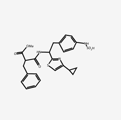 COC(=O)C(Cc1ccccc1)C(=O)NC(Cc1ccc(NS(=O)(=O)O)cc1)c1nc(C2CC2)cs1